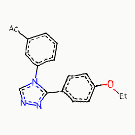 CCOc1ccc(-c2nncn2-c2cccc(C(C)=O)c2)cc1